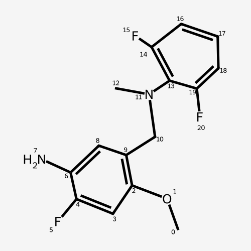 COc1cc(F)c(N)cc1CN(C)c1c(F)cccc1F